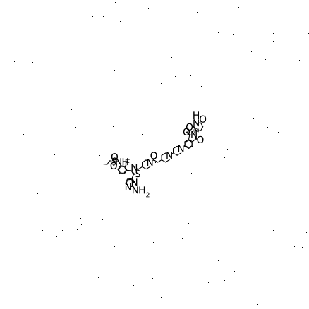 CCCS(=O)(=O)Nc1cccc(-c2nc(C3CCN(C(=O)CC4CCN(C5CCN(c6ccc7c(c6)C(=O)N([C@@H]6CCC(=O)NC6=O)C7=O)CC5)CC4)CC3)sc2-c2ccnc(N)n2)c1F